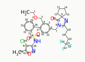 CCOCc1cc(CN2C(=O)C3(CCCC3)N=C2CCCC(F)(F)F)ccc1-c1ccccc1S(=O)(=O)Nc1noc(C)c1Cl